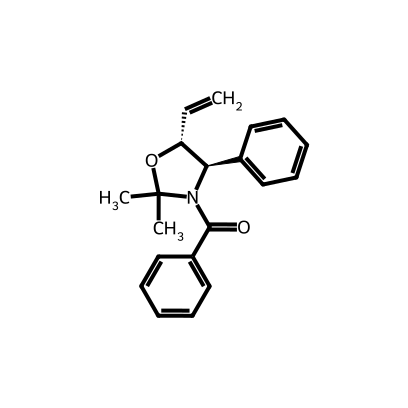 C=C[C@H]1OC(C)(C)N(C(=O)c2ccccc2)[C@@H]1c1ccccc1